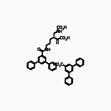 O=C(O)NC[C@H](CCCNC(=O)c1cc(-c2ccccc2)cc(-c2ccccc2)c1)NC(=O)O.O=C(O)c1cc(-c2ccccc2)cc(-c2ccccc2)c1